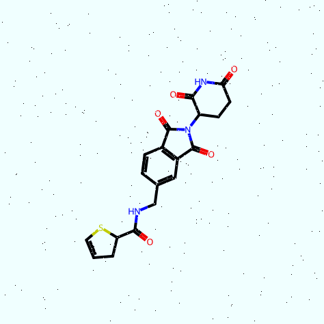 O=C1CCC(N2C(=O)c3ccc(CNC(=O)C4CC=CS4)cc3C2=O)C(=O)N1